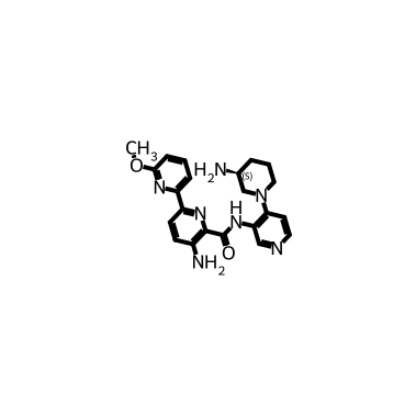 COc1cccc(-c2ccc(N)c(C(=O)Nc3cnccc3N3CCC[C@H](N)C3)n2)n1